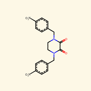 O=C1C(=O)N(Cc2ccc([N+](=O)[O-])cc2)CCN1Cc1ccc([N+](=O)[O-])cc1